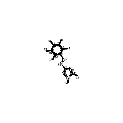 Cc1c(C)c(C)c(N=Nc2nc(C)n(C)n2)c(C)c1C